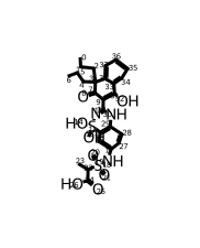 CCCC1(CCC)C(=O)C(C2=NS(O)(O)c3cc(NS(=O)(=O)C(C)C(=O)O)ccc3N2)=C(O)c2ccccc21